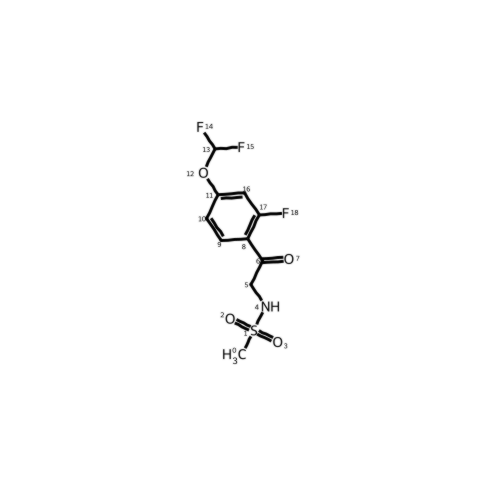 CS(=O)(=O)NCC(=O)c1ccc(OC(F)F)cc1F